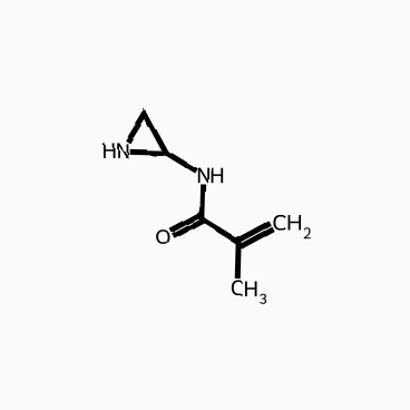 C=C(C)C(=O)NC1CN1